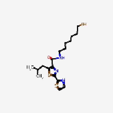 CC(C)Cc1sc(-c2nccs2)nc1C(=O)NCCCCCCCS